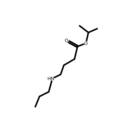 CCCNCCCC(=O)OC(C)C